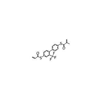 C=CC(=O)Sc1ccc(-c2ccc(SC(=O)C(=C)C)cc2)c(C(F)(F)F)c1